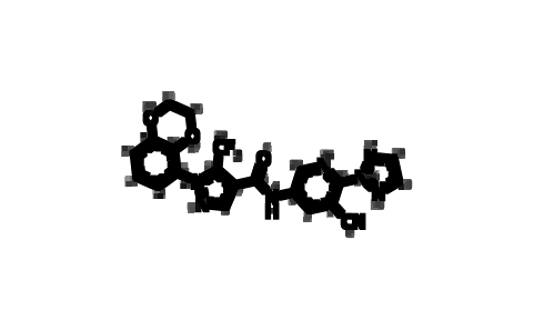 N#Cc1cc(NC(=O)c2cnn(-c3cccc4c3OCCO4)c2C(F)(F)F)cnc1-n1nccn1